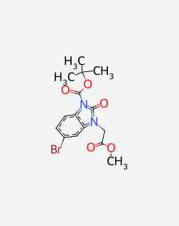 COC(=O)Cn1c(=O)n(C(=O)OC(C)(C)C)c2ccc(Br)cc21